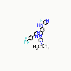 CC(C)N1CCC(N(Cc2ccc(Nc3ccncc3F)cc2)c2nccc(-c3ccc(C(F)(F)F)cc3)n2)CC1